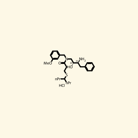 CCCC(CCC)SCCC(=O)N(Cc1cccc(OC)c1)C[C@@H](O)[C@@H](N)Cc1ccccc1.Cl